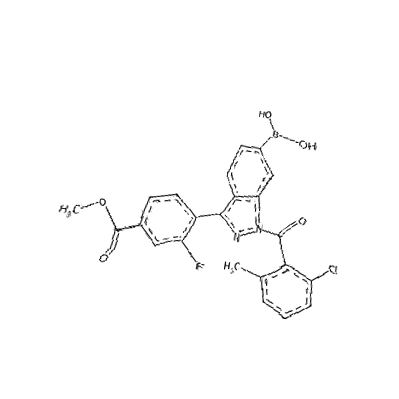 COC(=O)c1ccc(-c2nn(C(=O)c3c(C)cccc3Cl)c3cc(B(O)O)ccc23)c(F)c1